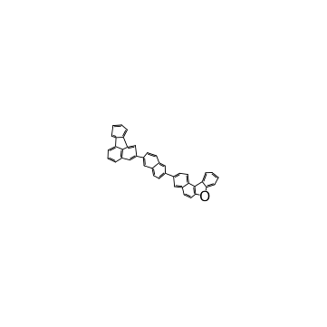 c1ccc2c(c1)-c1cccc3cc(-c4ccc5cc(-c6ccc7c(ccc8oc9ccccc9c87)c6)ccc5c4)cc-2c13